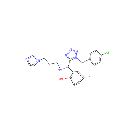 Cc1ccc(O)c(C(NCCCn2ccnc2)c2nnnn2Cc2ccc(Cl)cc2)c1